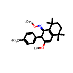 CCCCCCCCCCON=C1C2=C(C=C(OCC)C1c1ccc(C(=O)O)cc1)C(C)(C)CCC2(C)C